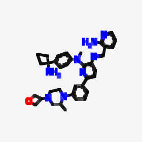 CC1CN(C2COC2)CCN1c1cccc(-c2ccc(/N=C/c3cccnc3N)c(N(C)c3ccc(C4(N)CCC4)cc3)n2)c1